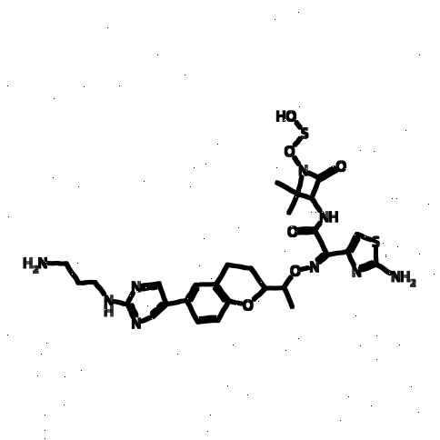 CC(O/N=C(\C(=O)NC1C(=O)N(OSO)C1(C)C)c1csc(N)n1)C1CCc2cc(-c3cnc(NCCCN)nc3)ccc2O1